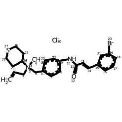 C=CC[N+](C)(Cc1ccc(NC(=O)C=Cc2cccc(Br)c2)cc1)C1CCSCC1.[Cl-]